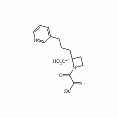 CC(C)(C)C(=O)C(=O)N1CC[C@@]1(CCCc1cccnc1)C(=O)O